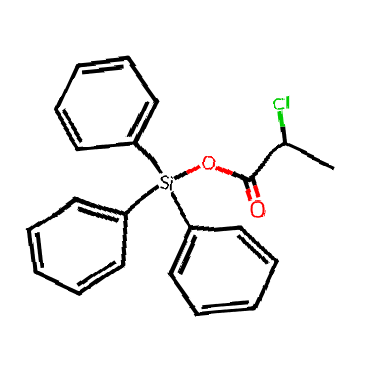 CC(Cl)C(=O)O[Si](c1ccccc1)(c1ccccc1)c1ccccc1